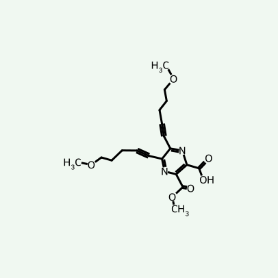 COCCCC#Cc1nc(C(=O)O)c(C(=O)OC)nc1C#CCCCOC